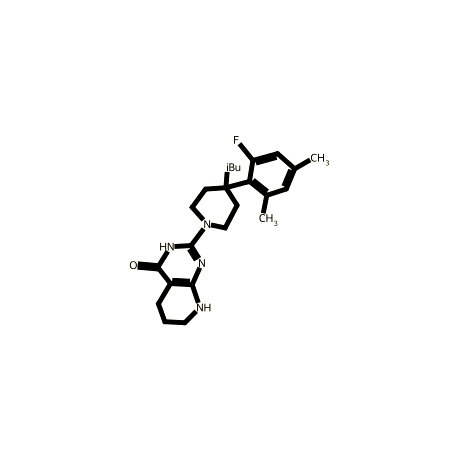 CCC(C)C1(c2c(C)cc(C)cc2F)CCN(c2nc3c(c(=O)[nH]2)CCCN3)CC1